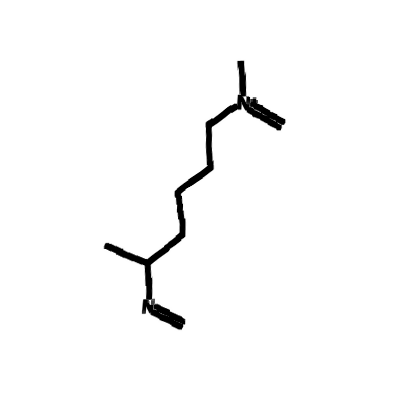 C=NC(C)CCCC[N+](=C)C